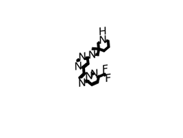 FC(F)c1ccc2ncc(-c3cc(N4CC5(CCCNC5)C4)ncn3)n2n1